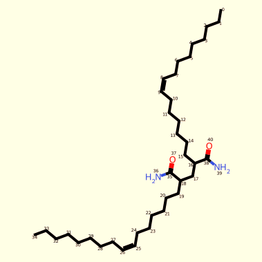 CCCCCCCC/C=C\CCCCCCC(CC(CCCCCC/C=C\CCCCCCCC)C(N)=O)C(N)=O